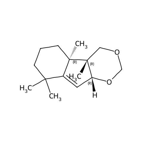 CC1(C)CCC[C@]2(C)C1=C[C@H]1OCOC[C@]12C